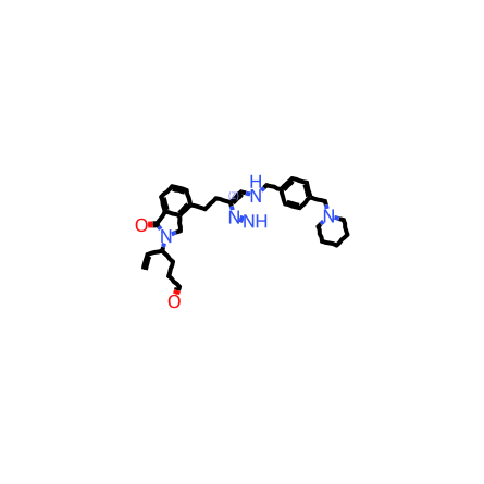 C=CC(CCC=O)N1Cc2c(CC/C(=C/NCc3ccc(CN4CCCCC4)cc3)N=N)cccc2C1=O